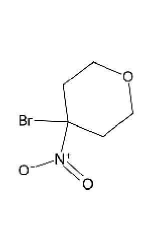 O=[N+]([O-])C1(Br)CCOCC1